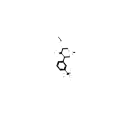 CCSC1CN(C)CC(c2cccc(C(F)(F)F)c2)C1=O